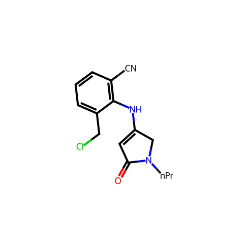 CCCN1CC(Nc2c(C#N)cccc2CCl)=CC1=O